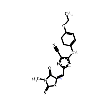 CCOC1=CC=C(Nc2oc(/C=C3/SC(=S)N(C)C3=O)nc2C#N)CC1